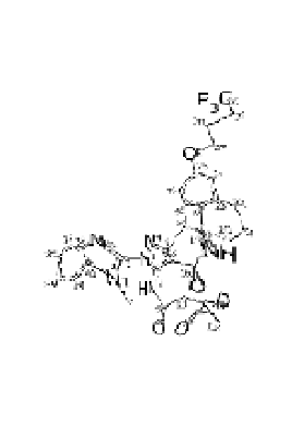 Cn1c(-n2nc3c(c2NC(=O)CS(C)(=O)=O)C(=O)N[C@@]2(CCCc4cc(OCCCC(F)(F)F)ccc42)C3)nc2ccccc21